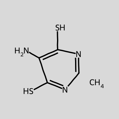 C.Nc1c(S)ncnc1S